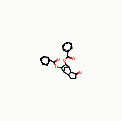 O=C(OC1C2CC(C1OC(=O)c1ccccc1)C1C(=O)CCC21)c1ccccc1